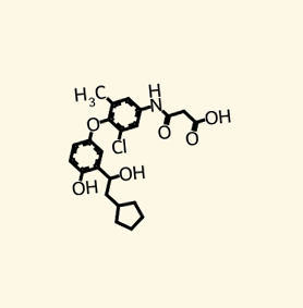 Cc1cc(NC(=O)CC(=O)O)cc(Cl)c1Oc1ccc(O)c(C(O)CC2CCCC2)c1